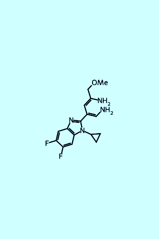 COC/C(N)=C/C(=C\N)c1nc2cc(F)c(F)cc2n1C1CC1